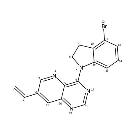 C=Cc1cnc2c(N3CCc4c(Br)cccc43)ncnc2c1